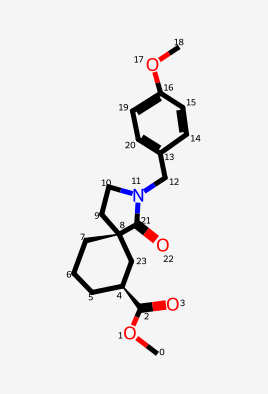 COC(=O)[C@H]1CCC[C@]2(CCN(Cc3ccc(OC)cc3)C2=O)C1